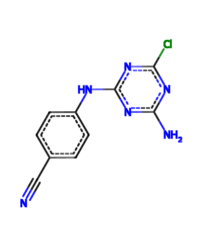 N#Cc1ccc(Nc2nc(N)nc(Cl)n2)cc1